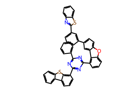 c1ccc(-c2nc(-c3cccc4c3sc3ccccc34)nc(-c3cccc4oc5ccc(-c6cccc(-c7nc8ccccc8s7)c6)cc5c34)n2)cc1